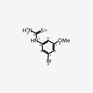 COc1cc(Br)cc(NC(N)=S)c1